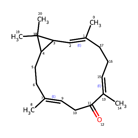 C/C1=C\C2C(CC/C(C)=C/CC(=O)/C(C)=C/CC1)C2(C)C